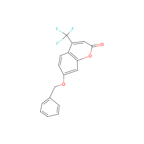 O=c1cc(C(F)(F)F)c2ccc(OCc3ccccc3)cc2o1